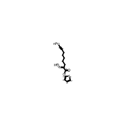 CCCC#CCCCCCC(=NO)C(=O)Oc1cccs1